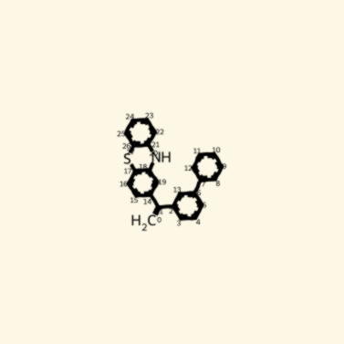 C=C(c1cccc(-c2ccccc2)c1)c1ccc2c(c1)Nc1ccccc1S2